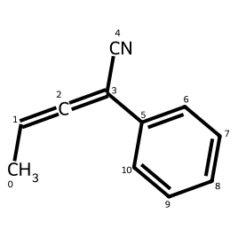 CC=C=C(C#N)c1ccccc1